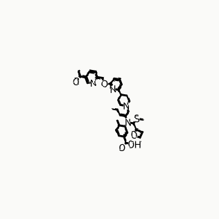 CC/C=C(\CN1CCC(c2cccc(OCc3ccc(C(C)=O)cn3)n2)CC1)N(C1C=C(C(=O)O)C=CC1C)C(SC)C1CCO1